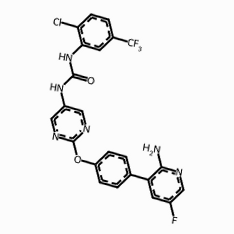 Nc1ncc(F)cc1-c1ccc(Oc2ncc(NC(=O)Nc3cc(C(F)(F)F)ccc3Cl)cn2)cc1